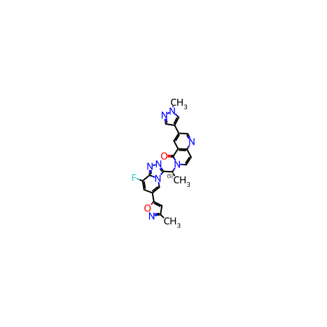 Cc1cc(-c2cc(F)c3nnc([C@H](C)n4ccc5ncc(-c6cnn(C)c6)cc5c4=O)n3c2)on1